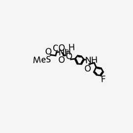 CSC(=O)CC(NC(=O)OCc1ccc(NC(=O)Cc2ccc(F)cc2)cc1)C(=O)O